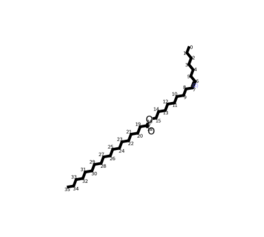 CCCCCC/C=C\CCCCCCCCOC(=O)CCCCCCCCCCCCCCCCC